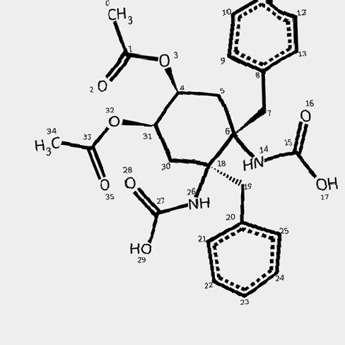 CC(=O)O[C@H]1C[C@](Cc2ccccc2)(NC(=O)O)[C@@](Cc2ccccc2)(NC(=O)O)C[C@H]1OC(C)=O